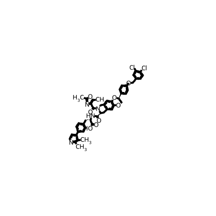 Cc1nc(C(=O)N2Cc3cc4c(cc3C[C@H]2C(=O)N[C@@H](Cc2ccc(-c3ccnc(C)c3C)cc2)C(=O)O)OC[C@H](c2ccc(OCc3ccc(Cl)c(Cl)c3)cc2)O4)c(C)o1